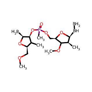 BB[C@@H]1O[C@H](COP(C)(=O)O[C@H]2C(C)[C@@H](COC)O[C@H]2B)C(OC)[C@@H]1C